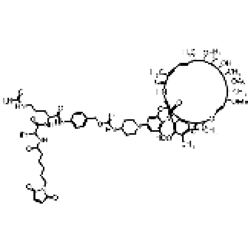 CO[C@H]1/C=C/O[C@@]2(C)Oc3c(C)c(O)c4c(=O)c(c5oc6cc(N7CCC(NC(=O)OCc8ccc(NC(=O)[C@H](CCCNC(N)=O)NC(=O)[C@@H](NC(=O)CCCCCN9C(=O)C=CC9=O)C(C)C)cc8)CC7)cc(O)c6nc-5c4c3C2=O)NC(=O)/C(C)=C\C=C\[C@H](C)[C@H](O)[C@@H](C)[C@@H](O)[C@@H](C)[C@H](OC(C)=O)[C@@H]1C